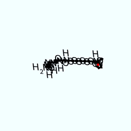 C#CCOCC(COCC#C)(COCC=C)NC(=O)CCOCCOCCOCCOCCOCCOCCNC(=O)CCCNC(=O)c1ccc(NCc2cnc3nc(N)[nH]c(=O)c3n2)cc1